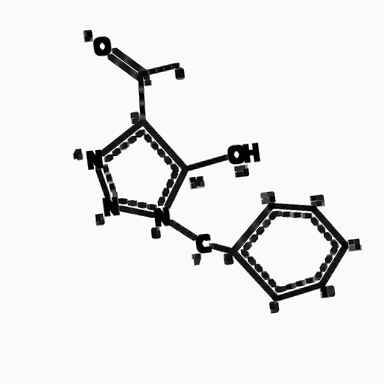 CC(=O)c1nnn(Cc2ccccc2)c1O